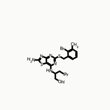 Cc1cccc(CSc2nc(NC(CO)CC(C)C)c3sc(N)nc3n2)c1Br